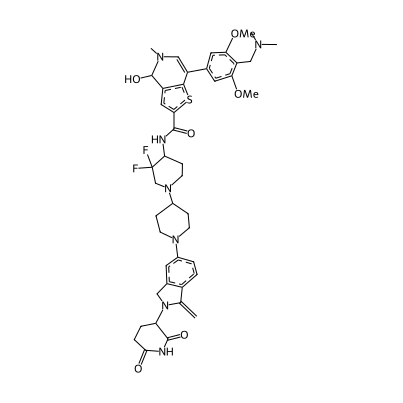 C=C1c2ccc(N3CCC(N4CCC(NC(=O)c5cc6c(s5)C(c5cc(OC)c(CN(C)C)c(OC)c5)=CN(C)C6O)C(F)(F)C4)CC3)cc2CN1C1CCC(=O)NC1=O